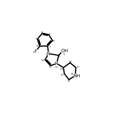 OC1N(c2ccccc2F)C=CN1C1CCNCC1